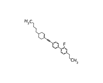 CCCCCC1CC=C(C#Cc2ccc(-c3ccc(CCC)cc3F)cc2)CC1